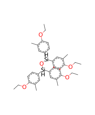 CCOc1ccc([SiH](O[SiH](c2ccc(OCC)c(C)c2)c2ccc(OCC)c(C)c2)c2ccc(OCC)c(C)c2)cc1C